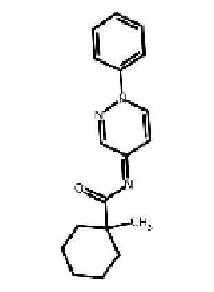 CC1(C(=O)N=c2ccn(-c3ccccc3)nc2)CCCCC1